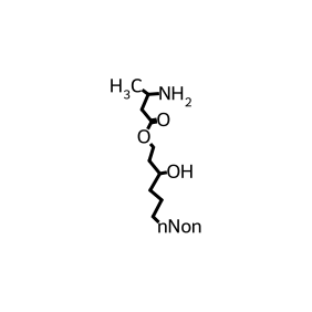 CCCCCCCCCCCCC(O)CCOC(=O)CC(C)N